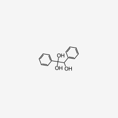 OC(c1ccccc1)C(O)(O)c1ccccc1